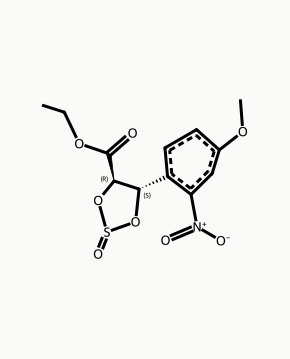 CCOC(=O)[C@@H]1OS(=O)O[C@H]1c1ccc(OC)cc1[N+](=O)[O-]